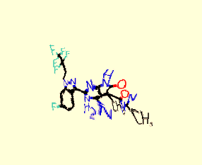 Cc1noc(C2(C)C(=O)Nc3nc(-c4nn(CCC(F)(F)C(F)(F)F)c5cc(F)ccc45)nc(N)c32)n1